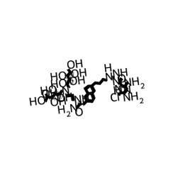 N=C(NCCCCc1ccc2cc(C[C@H](NCCCN(C[C@H](O)[C@@H](O)[C@H](O)[C@H](O)CO)C[C@H](O)[C@@H](O)[C@H](O)C(O)CO)C(N)=O)ccc2c1)NC(=O)c1nc(Cl)c(N)nc1N